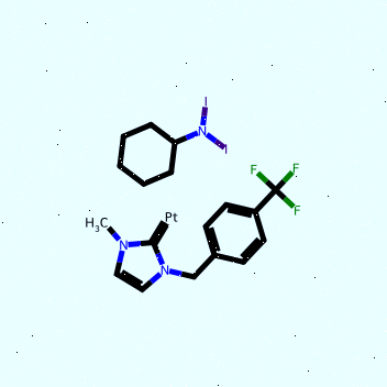 Cn1ccn(Cc2ccc(C(F)(F)F)cc2)[c]1=[Pt].IN(I)C1CCCCC1